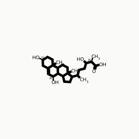 CC(CCC(O)[C@@H](C)C(=O)O)C1CCC2C3C(CCC12C)C1(C)CC[C@H](O)CC1=C[C@@H]3O